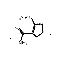 CCCCCC1=C(C(N)=O)CCC1